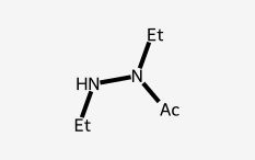 CCNN(CC)C(C)=O